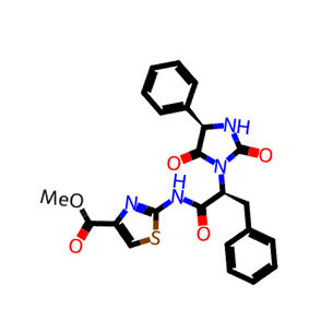 COC(=O)c1csc(NC(=O)[C@H](Cc2ccccc2)N2C(=O)N[C@H](c3ccccc3)C2=O)n1